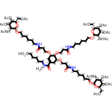 CC(=O)N[C@H]1[C@H](OCCCCCCNC(=O)CCO[C@@H]2[C@H](OCCC(=O)NCCCCCCO[C@@H]3O[C@H](COC(C)=O)[C@H](OC(C)=O)[C@H](OC(C)=O)[C@H]3NC(C)=O)C=C(C(=O)N(C)CCCCCC(=O)O)C[C@H]2OCCC(=O)NCCCCCCO[C@@H]2O[C@H](COC(C)=O)[C@H](OC(C)=O)[C@H](OC(C)=O)[C@H]2NC(C)=O)O[C@H](COC(C)=O)[C@H](OC(C)=O)[C@@H]1OC(C)=O